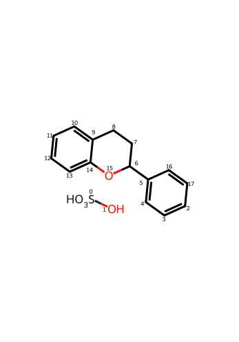 O=S(=O)(O)O.c1ccc(C2CCc3ccccc3O2)cc1